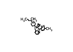 CCCC(C)N1CCC(N(Cc2ccccc2)C(=O)Nc2ccc(C)nc2Br)CC1